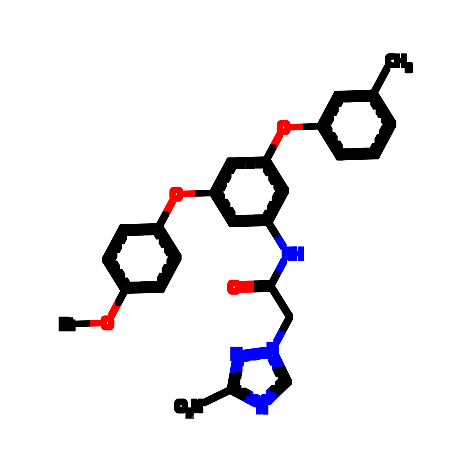 CCOc1ccc(Oc2cc(NC(=O)Cn3cnc([N+](=O)[O-])n3)cc(Oc3cccc(C)c3)c2)cc1